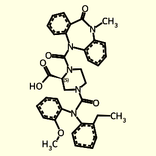 CCc1ccccc1N(C(=O)N1CCN(C(=O)N2c3ccccc3C(=O)N(C)c3ccccc32)[C@H](C(=O)O)C1)c1ccccc1OC